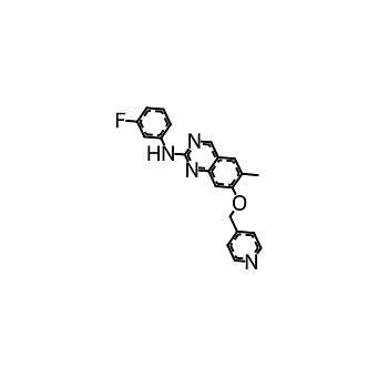 Cc1cc2cnc(Nc3cccc(F)c3)nc2cc1OCc1ccncc1